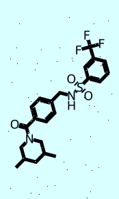 CC1CC(C)CN(C(=O)c2ccc(CNS(=O)(=O)c3cccc(C(F)(F)F)c3)cc2)C1